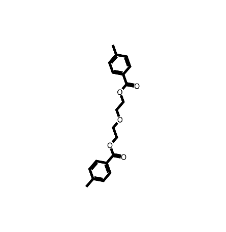 Cc1ccc(C(=O)OCCOCCOC(=O)c2ccc(C)cc2)cc1